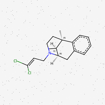 C[C@@H]1[C@H]2Cc3ccccc3[C@]1(C)CCN2CC=C(Cl)Cl